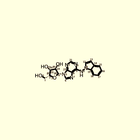 OC[C@H]1O[C@@H](n2cnc3c(Nn4ccc5ccccc54)ncnc32)[C@H](O)[C@@H]1O